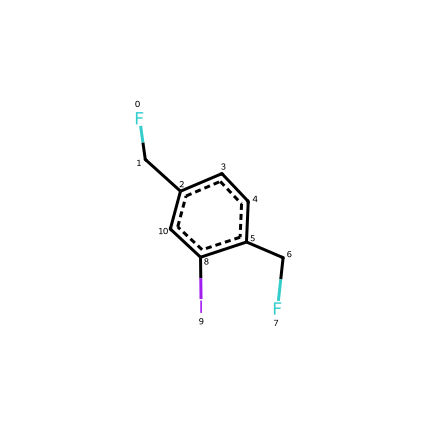 FCc1ccc(CF)c(I)c1